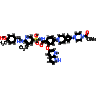 COC(=O)N1CCN(C2CC3(CCN(c4ccc(C(=O)NS(=O)(=O)c5cnc(NC[C@H]6CC[C@](C)(O)CC6)c([N+](=O)[O-])c5)c(Oc5cnc6[nH]ccc6c5)c4)CC3)C2)CC1